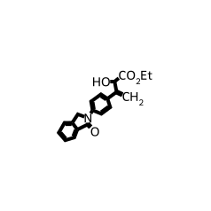 C=C(c1ccc(N2Cc3ccccc3C2=O)cc1)C(O)C(=O)OCC